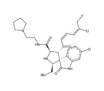 C=C(/C=C\C=C(\Cl)CF)[C@H]1[C@H](C(=O)NCCN2CCCC2)N[C@H](CC(C)(C)C)[C@]12C(=O)Nc1cc(Cl)ccc12